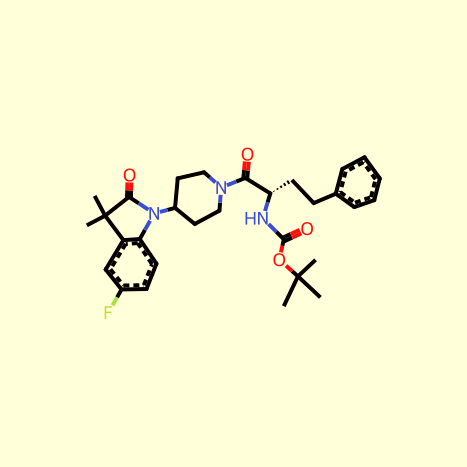 CC(C)(C)OC(=O)N[C@@H](CCc1ccccc1)C(=O)N1CCC(N2C(=O)C(C)(C)c3cc(F)ccc32)CC1